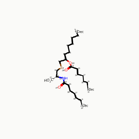 CCCCCCCCCCCCCCCCC(CSC[C@H](NC(=O)CCCCCCCCCCCCCCC)C(=O)O)OC(=O)CCCCCCCCCCCCCCC